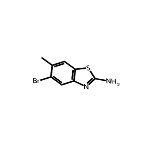 Cc1cc2sc(N)nc2cc1Br